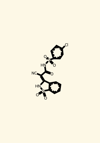 N#CC(C(=O)NS(=O)(=O)c1ccc(Cl)cc1)=C1NS(=O)(=O)c2ccccc21